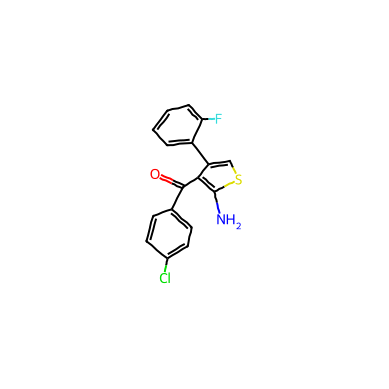 Nc1scc(-c2ccccc2F)c1C(=O)c1ccc(Cl)cc1